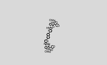 COC(=O)N[C@H](C(=O)N1CCC[C@H]1c1nc2ccc(-c3ccc4cc(-c5ccc6nc([C@@H]7CCCN7C(=O)[C@@H](NC(=O)OC)C7CCOCC7)[nH]c6n5)ccc4c3)nc2[nH]1)C1CCOCC1